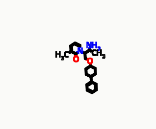 Cc1cccn(C(COC2CCC(c3ccccc3)CC2)C(C)N)c1=O